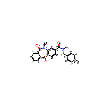 CCN1C(=O)c2ccccc2[S+]([O-])c2ccc(C(=O)N(C)Cc3ccc(C)cc3)cc21